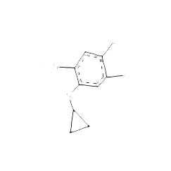 O=[N+]([O-])c1cc(I)c(F)cc1NC1CC1